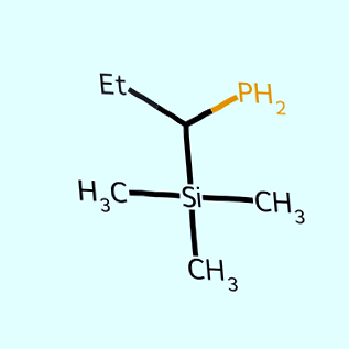 [CH2]CC(P)[Si](C)(C)C